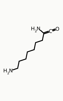 NCCCCCCCC(N)=C=O